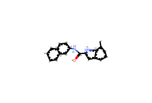 Cc1cccc2cc(C(=O)Nc3ccc4ccccc4c3)[nH]c12